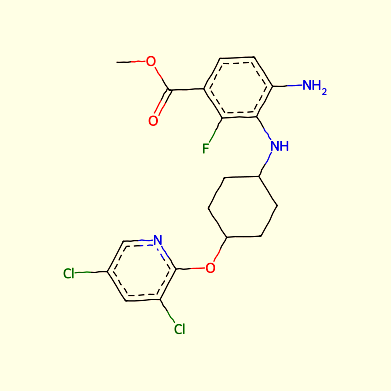 COC(=O)c1ccc(N)c(NC2CCC(Oc3ncc(Cl)cc3Cl)CC2)c1F